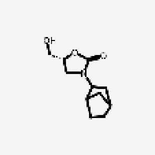 O=C1O[C@@H](CO)CN1C1CC2CCC1C2